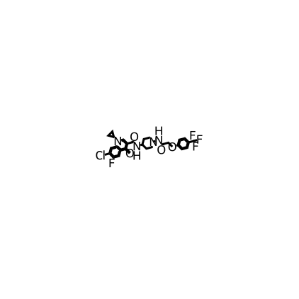 O=C(COc1ccc(C(F)(F)F)cc1)NN1CCC(NC(=O)c2cn(C3CC3)c3cc(Cl)c(F)cc3c2=O)CC1